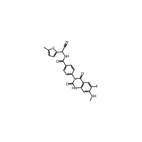 CNc1cc2[nH]c(=O)n(-c3ccc(C(=O)NC(C#N)c4ccc(C)s4)cc3)c(=O)c2cc1F